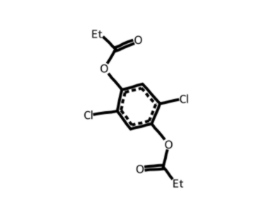 CCC(=O)Oc1cc(Cl)c(OC(=O)CC)cc1Cl